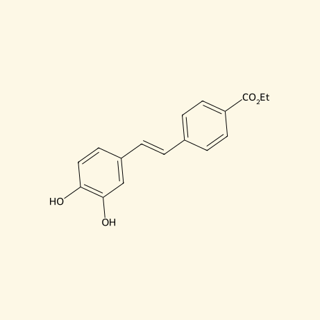 CCOC(=O)c1ccc(/C=C/c2ccc(O)c(O)c2)cc1